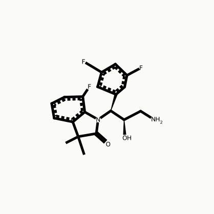 CC1(C)C(=O)N([C@@H](c2cc(F)cc(F)c2)[C@H](O)CN)c2c(F)cccc21